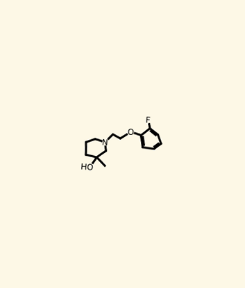 CC1(O)CCCN(CCOc2ccccc2F)C1